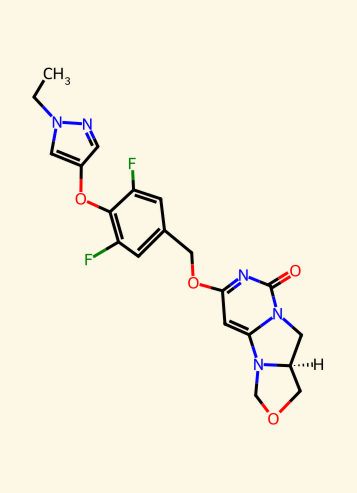 CCn1cc(Oc2c(F)cc(COc3cc4n(c(=O)n3)C[C@H]3COCN43)cc2F)cn1